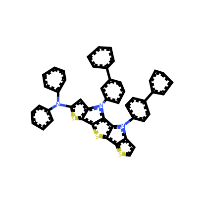 c1ccc(-c2ccc(-n3c4ccsc4c4sc5c6sc(N(c7ccccc7)c7ccccc7)cc6n(-c6cccc(-c7ccccc7)c6)c5c43)cc2)cc1